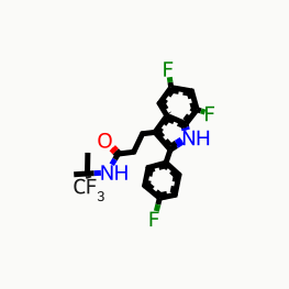 CC(C)(NC(=O)CCc1c(-c2ccc(F)cc2)[nH]c2c(F)cc(F)cc12)C(F)(F)F